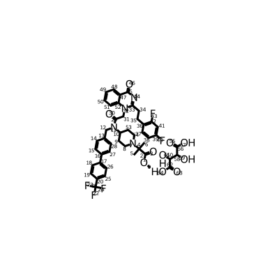 COC(=O)C(C)(C)N1CCC(N(Cc2ccc(-c3ccc(C(F)(F)F)cc3)cc2)C(=O)Cn2c(CCc3ccc(F)cc3F)nc(=O)c3ccccc32)CC1.O=C(O)C(O)C(O)C(=O)O